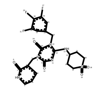 O=c1[nH]cccc1Cn1c(=O)nc(NC2CCS(=O)(=O)CC2)n(Cc2cc(F)c(F)c(F)c2)c1=O